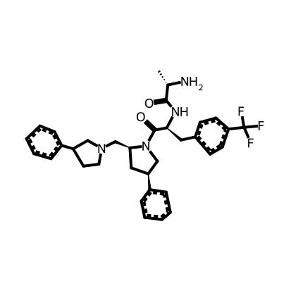 C[C@H](N)C(=O)N[C@@H](Cc1ccc(C(F)(F)F)cc1)C(=O)N1C[C@@H](c2ccccc2)C[C@H]1CN1CCC(c2ccccc2)C1